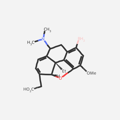 Bc1cc(OC)c2c3c1CC(N(C)C)C1=CC=C(CC(=O)O)[C@@H](O2)[C@]13CC